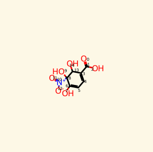 O=C(O)C1=CC=C(O)C(O)([N+](=O)[O-])C1O